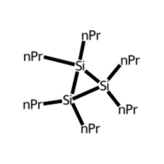 CCC[Si]1(CCC)[Si](CCC)(CCC)[Si]1(CCC)CCC